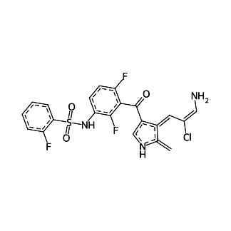 C=c1[nH]cc(C(=O)c2c(F)ccc(NS(=O)(=O)c3ccccc3F)c2F)/c1=C/C(Cl)=C\N